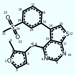 Cc1occc1Sc1ncnc2scc(-c3cccc(S(C)(=O)=O)c3)c12